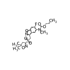 C=CCOC(=O)N(C)c1cc2c(CS(=O)(=O)C3=NOC(C)(C)C3)noc2cc1F